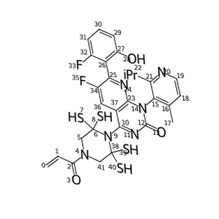 C=CC(=O)N1CC(S)(S)N(c2nc(=O)n(-c3c(C)ccnc3C(C)C)c3nc(-c4c(O)cccc4F)c(F)cc23)C(S)(S)C1